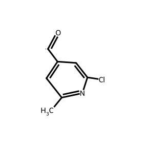 Cc1cc([C]=O)cc(Cl)n1